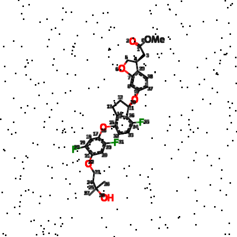 COC(=O)C[C@@H]1COc2cc(O[C@@H]3CCc4c(Oc5cc(F)c(OCCC(C)(C)O)cc5F)ccc(F)c43)ccc21